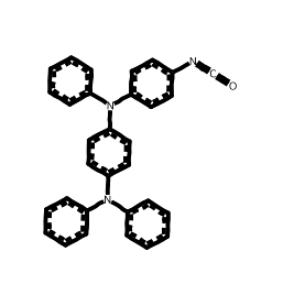 O=C=Nc1ccc(N(c2ccccc2)c2ccc(N(c3ccccc3)c3ccccc3)cc2)cc1